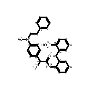 CC(=O)N(CCc1ccccc1)c1ccc(C(C)C(=O)Nc2ccccc2Cc2ccccc2C(=O)O)cc1